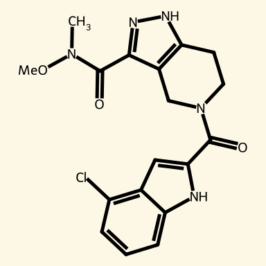 CON(C)C(=O)c1n[nH]c2c1CN(C(=O)c1cc3c(Cl)cccc3[nH]1)CC2